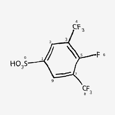 O=S(=O)(O)c1cc(C(F)(F)F)c(F)c(C(F)(F)F)c1